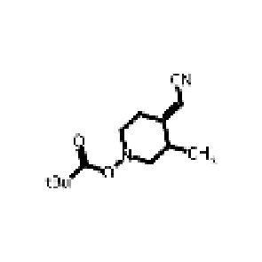 CC1CN(OC(=O)C(C)(C)C)CCC1=CC#N